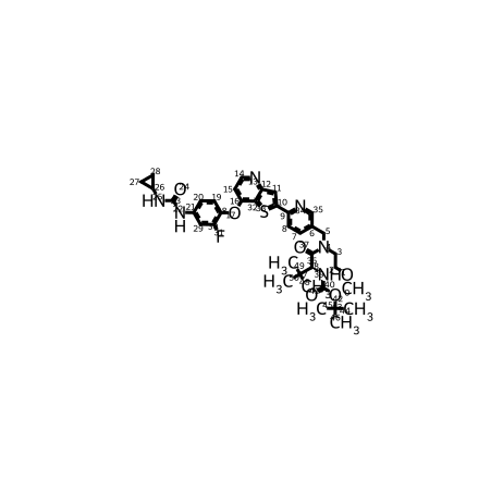 COCCN(Cc1ccc(-c2cc3nccc(Oc4ccc(NC(=O)NC5CC5)cc4F)c3s2)nc1)C(=O)[C@@H](NC(=O)OC(C)(C)C)C(C)(C)C